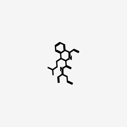 C=CC/C(C=C)=N\C(=C)C1N=C(C=C)c2ccccc2C1CCC(C)C